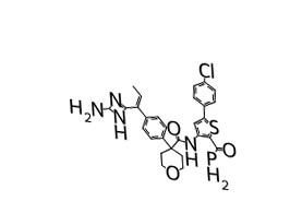 C/C=C(\C1=NC(N)N1)c1ccc(C2(C(=O)Nc3cc(-c4ccc(Cl)cc4)sc3C(=O)P)CCOCC2)cc1